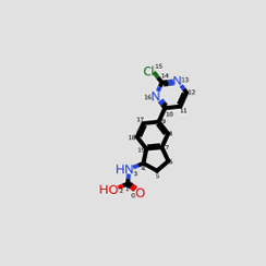 O=C(O)NC1CCc2cc(-c3ccnc(Cl)n3)ccc21